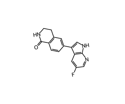 O=C1NCCc2cc(-c3c[nH]c4ncc(F)cc34)ccc21